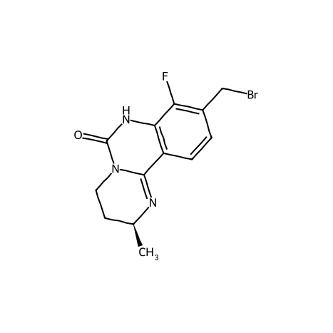 C[C@H]1CCN2C(=O)Nc3c(ccc(CBr)c3F)C2=N1